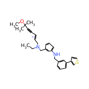 CCN(C/C=C/C#CC(C)(C)OC)Cc1cccc(NCc2cccc(-c3ccsc3)c2)c1